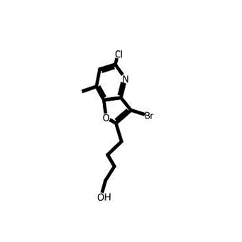 Cc1cc(Cl)nc2c(Br)c(CCCCO)oc12